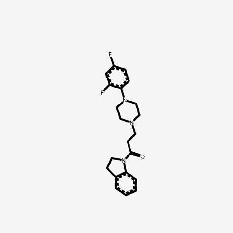 O=C(CCN1CCN(c2ccc(F)cc2F)CC1)N1CCc2ccccc21